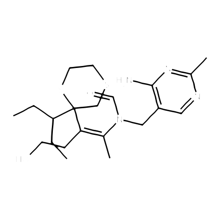 CCC(CC)C1(/C(CCO)=C(/C)N(C=O)Cc2cnc(C)nc2N)CSCCS1